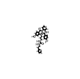 COc1ccc(C(=O)Nc2cnccc2NC(=O)c2ccc(OC)cc2OCCCNC(=O)NCCc2cccs2)cc1